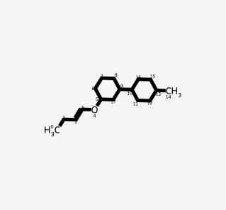 CC/C=C/OC1CCCC(C2CCC(C)CC2)C1